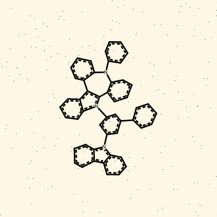 c1ccc(-c2cc(-n3c4c(c5ccccc53)-c3ccccc3N(c3ccccc3)c3ccccc3-4)cc(-n3c4ccccc4c4ccccc43)c2)cc1